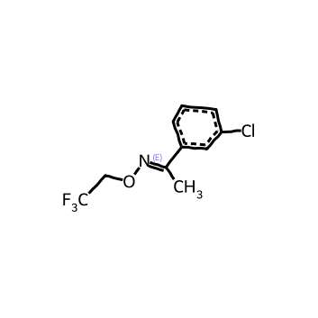 C/C(=N\OCC(F)(F)F)c1cccc(Cl)c1